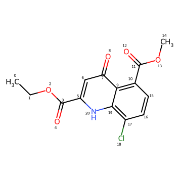 CCOC(=O)c1cc(=O)c2c(C(=O)OC)ccc(Cl)c2[nH]1